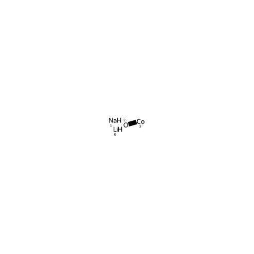 [LiH].[NaH].[O]=[Co]